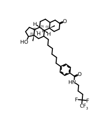 C[C@]12CCC(=O)CC1CC[C@@H]1[C@H]2C(CCCCCCc2ccc(C(=O)NCCCC(F)(F)C(F)(F)F)cc2)C[C@]2(C)C(O)CC[C@@H]12